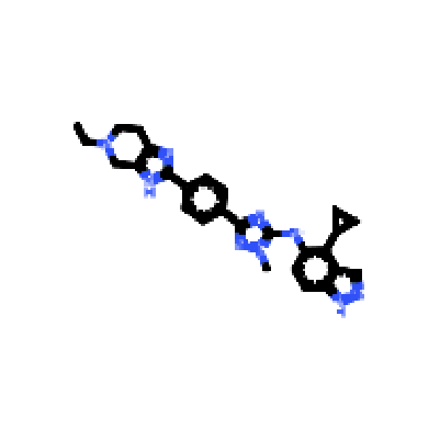 CCN1CCc2nc(-c3ccc(-c4nc(Nc5ccc6[nH]ncc6c5C5CC5)n(C)n4)cc3)[nH]c2C1